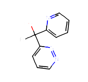 CC(C)C(O)(c1ccccn1)c1cccnn1